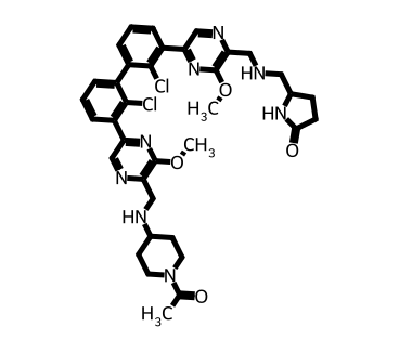 COc1nc(-c2cccc(-c3cccc(-c4cnc(CNC5CCN(C(C)=O)CC5)c(OC)n4)c3Cl)c2Cl)cnc1CNCC1CCC(=O)N1